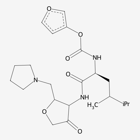 CC(C)C(C)C[C@H](NC(=O)Oc1ccoc1)C(=O)NC1C(=O)COC1CN1CCCC1